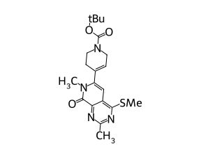 CSc1nc(C)nc2c(=O)n(C)c(C3=CCN(C(=O)OC(C)(C)C)CC3)cc12